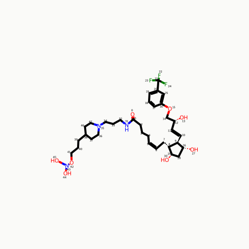 O=C(CCC/C=C\C[C@@H]1[C@@H](/C=C/[C@@H](O)COc2cccc(C(F)(F)F)c2)[C@H](O)C[C@@H]1O)NCCCN1CCC(CCCON(O)O)CC1